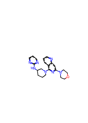 c1cnc(NC2CCCN(c3nc(N4CCOCC4)cc4ncccc34)C2)nc1